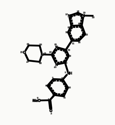 COC(=O)c1ccc(Nc2cc(-c3ccc4c(c3)ncn4C)nc(N3CCOCC3)n2)cc1